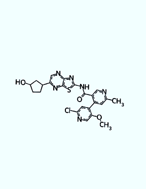 COc1cnc(Cl)cc1-c1cc(C)ncc1C(=O)Nc1nc2ncc(C3CCC(O)C3)nc2s1